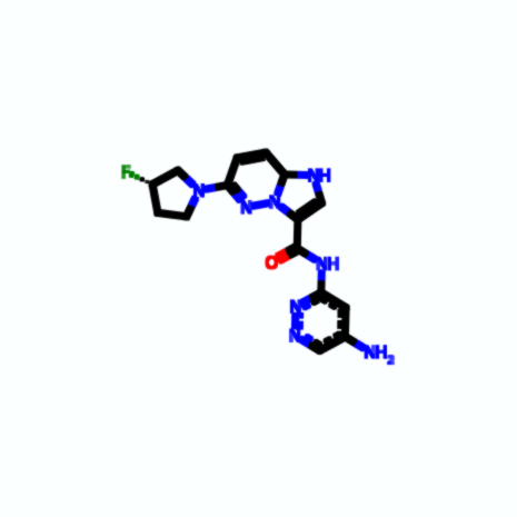 Nc1cnnc(NC(=O)C2=CNC3C=CC(N4CC[C@H](F)C4)=NN23)c1